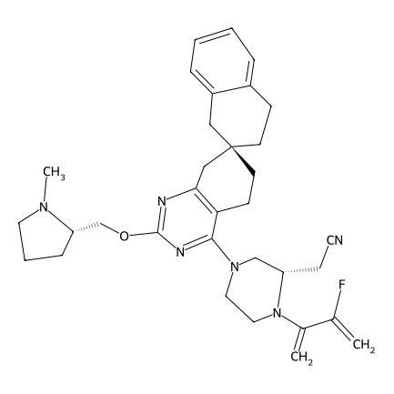 C=C(F)C(=C)N1CCN(c2nc(OC[C@@H]3CCCN3C)nc3c2CC[C@@]2(CCc4ccccc4C2)C3)C[C@@H]1CC#N